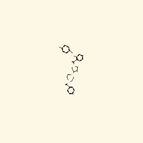 O=C(c1ccc(Cl)cc1)N1CCN(C2CN(C(=O)c3ccc(Cl)cc3NCc3ccc(Cl)cc3)CC2O)CC1